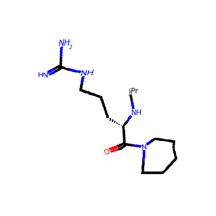 CC(C)N[C@@H](CCCNC(=N)N)C(=O)N1CCCCC1